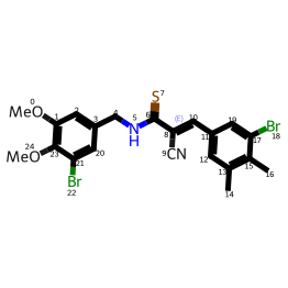 COc1cc(CNC(=S)/C(C#N)=C/c2cc(C)c(C)c(Br)c2)cc(Br)c1OC